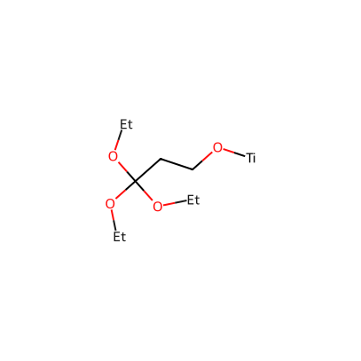 CCOC(CC[O][Ti])(OCC)OCC